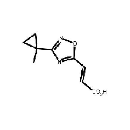 CC1(c2noc(C=CC(=O)O)n2)CC1